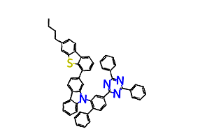 CCCCc1ccc2c(c1)sc1c(-c3ccc4c5ccccc5n(-c5cc(-c6nc(-c7ccccc7)nc(-c7ccccc7)n6)ccc5-c5ccccc5)c4c3)cccc12